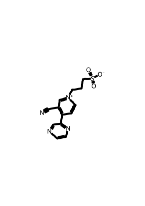 N#Cc1c[n+](CCCS(=O)(=O)[O-])ccc1-c1cnccn1